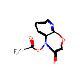 O=C1COc2ncccc2N1OC(=O)C(F)(F)F